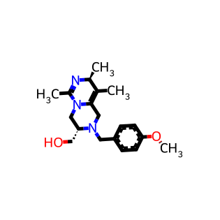 COc1ccc(CN2CC3=C(C)[C@H](C)N=C(C)N3C[C@H]2CO)cc1